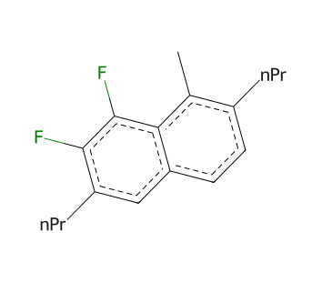 CCCc1cc2ccc(CCC)c(C)c2c(F)c1F